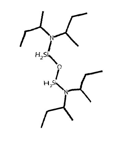 CCC(C)N([SiH2]O[SiH2]N(C(C)CC)C(C)CC)C(C)CC